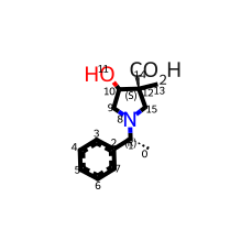 C[C@H](c1ccccc1)N1CC(O)[C@@](C)(C(=O)O)C1